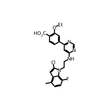 CCOc1cc(-c2cc(NCCn3c(Cl)cc4c(C)ccc(F)c43)ncn2)ccc1C(=O)O